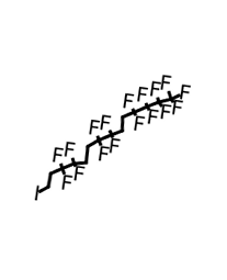 FC(F)(F)C(F)(F)C(F)(F)C(F)(F)CCC(F)(F)C(F)(F)CCC(F)(F)C(F)(F)CCI